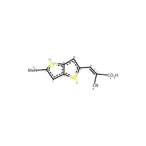 CNc1cc2sc(/C=C(\C#N)C(=O)O)cc2s1